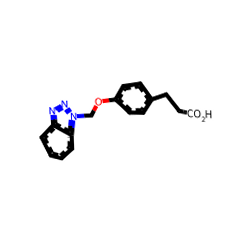 O=C(O)CCc1ccc(OCn2nnc3ccccc32)cc1